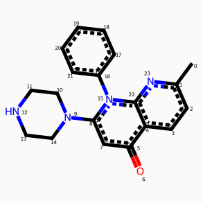 Cc1ccc2c(=O)cc(N3CCNCC3)n(-c3ccccc3)c2n1